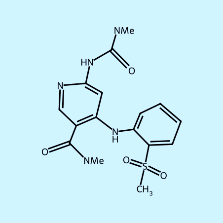 CNC(=O)Nc1cc(Nc2ccccc2S(C)(=O)=O)c(C(=O)NC)cn1